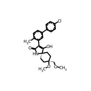 COC[C@]1(OC)CC[C@]2(CC1)NC(=O)C(c1cc(-c3ccc(Cl)cc3)ccc1C)=C2O